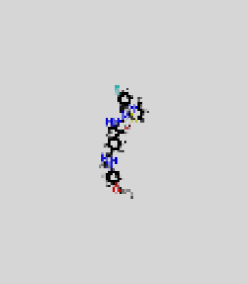 CC(C)c1cc(F)ccc1N1/C(=N/C(=O)NC(C)C(C)c2ccc(-c3ncn(-c4ccc(OC(F)(F)F)cc4)n3)cc2)SCCC1C